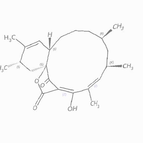 CC1=C[C@@H]2CCC[C@@H](C)C[C@@H](C)/C=C(C)\C(O)=C3\C(=O)O[C@]2(C[C@@H]1C)C3=O